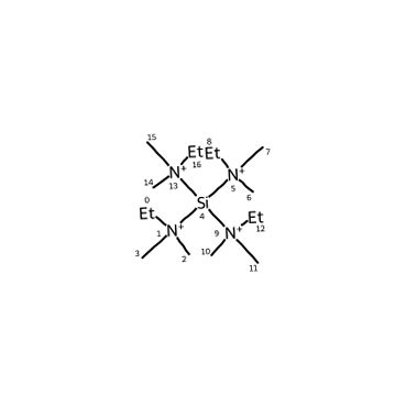 CC[N+](C)(C)[Si]([N+](C)(C)CC)([N+](C)(C)CC)[N+](C)(C)CC